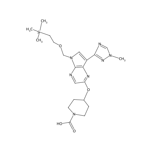 Cn1cnc(-c2cn(COCC[Si](C)(C)C)c3ncc(OC4CCN(C(=O)O)CC4)nc23)n1